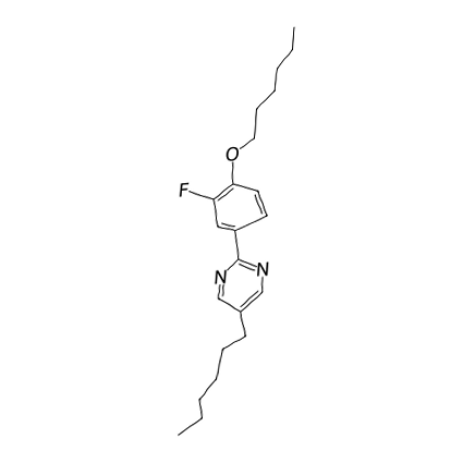 CCCCCCOc1ccc(-c2ncc(CCCCCC)cn2)cc1F